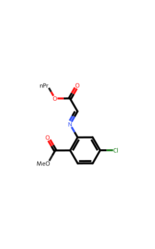 CCCOC(=O)C=Nc1cc(Cl)ccc1C(=O)OC